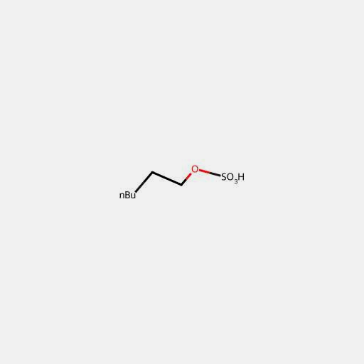 CC[CH]CCCOS(=O)(=O)O